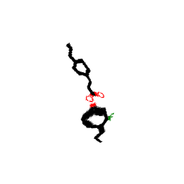 CCCc1ccc(OC(=O)CCC2CCC(CCC)CC2)cc1F